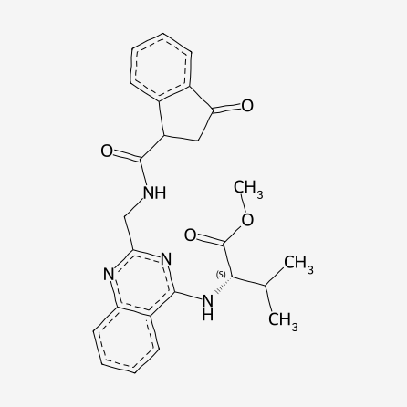 COC(=O)[C@@H](Nc1nc(CNC(=O)C2CC(=O)c3ccccc32)nc2ccccc12)C(C)C